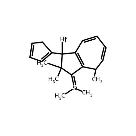 CC1C=CC=CC2=C1C(=[Si](C)C)C(C)(C)[C]2([Hf])C1=CC=CC1